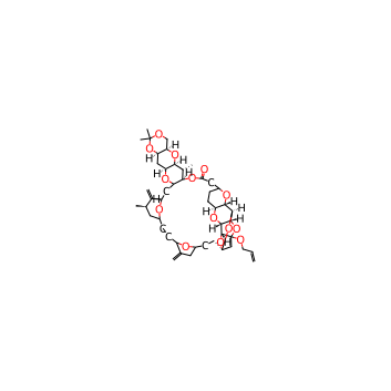 C=CCOC12C[C@]34CCC5CC(=C)C(CCC6C[C@@H](C)C(=C)[C@@H](CC7O[C@H]8C[C@H]9OC(C)(C)OC[C@H]9O[C@H]8[C@H](C)[C@H]7OC(=O)CC7CC[C@@H]8O[C@H]([C@@H](O1)[C@@H](O3)[C@H]8O7)[C@H]2O4)O6)O5